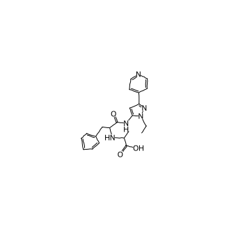 CCn1nc(-c2ccncc2)cc1NC(=O)C(Cc1ccccc1)NC(C)C(=O)O